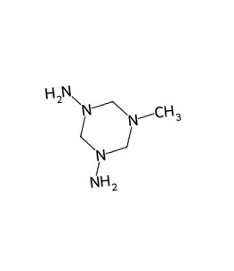 CN1CN(N)CN(N)C1